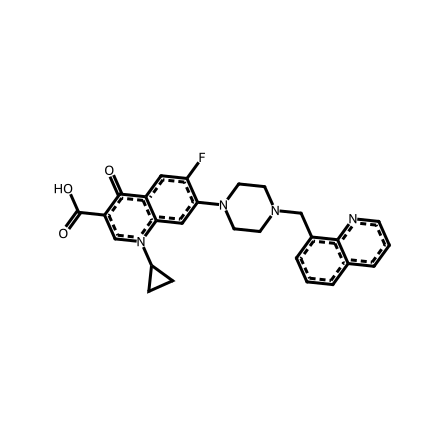 O=C(O)c1cn(C2CC2)c2cc(N3CCN(Cc4cccc5cccnc45)CC3)c(F)cc2c1=O